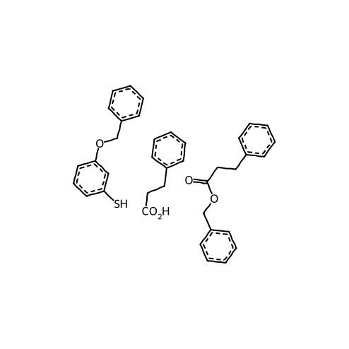 O=C(CCc1ccccc1)OCc1ccccc1.O=C(O)CCc1ccccc1.Sc1cccc(OCc2ccccc2)c1